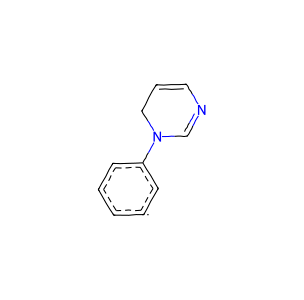 [c]1cccc(N2C=NC=CC2)c1